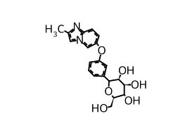 Cc1cn2cc(Oc3cccc(C4O[C@H](CO)[C@@H](O)[C@H](O)[C@@H]4O)c3)ccc2n1